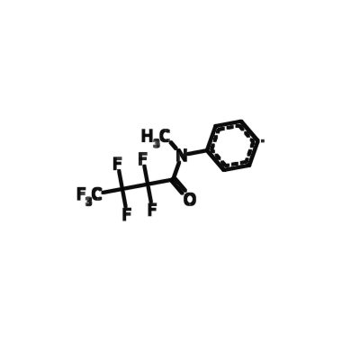 CN(C(=O)C(F)(F)C(F)(F)C(F)(F)F)c1cc[c]cc1